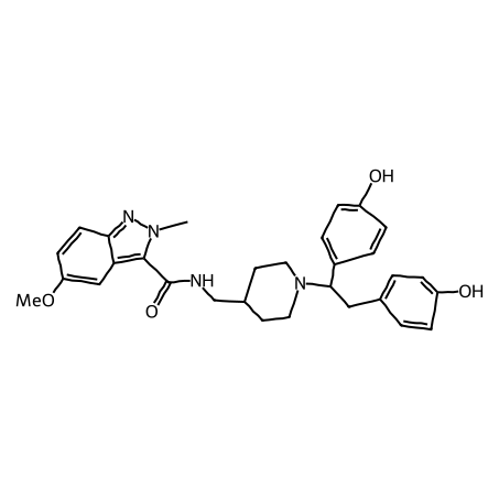 COc1ccc2nn(C)c(C(=O)NCC3CCN(C(Cc4ccc(O)cc4)c4ccc(O)cc4)CC3)c2c1